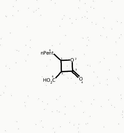 CCCCCC1OC(=O)C1C(=O)O